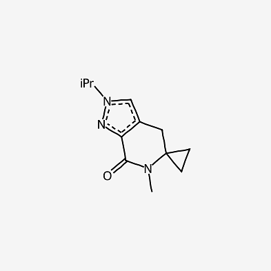 CC(C)n1cc2c(n1)C(=O)N(C)C1(CC1)C2